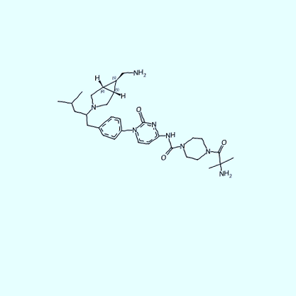 CC(C)CC(Cc1ccc(-n2ccc(NC(=O)N3CCN(C(=O)C(C)(C)N)CC3)nc2=O)cc1)N1C[C@@H]2[C@@H](CN)[C@@H]2C1